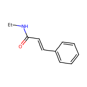 CCNC(=O)/C=C/c1[c]cccc1